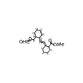 COC(=O)C1CCCCC1N=NC1CCCCC1COC=O